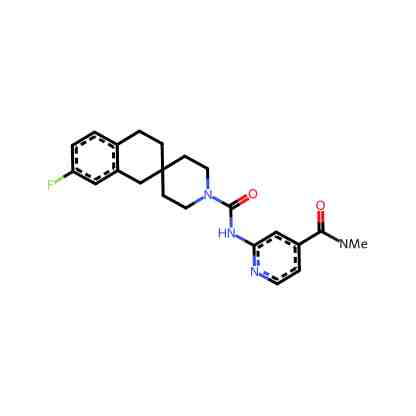 CNC(=O)c1ccnc(NC(=O)N2CCC3(CCc4ccc(F)cc4C3)CC2)c1